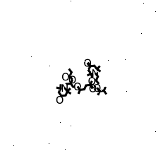 CCC(=O)OC(COC(C)CCC(=O)OC(COC(C)C(C)C)CN1C(C)(C)CC(=O)CC1(C)C)CN1C(C)(C)CC(=O)CC1(C)C